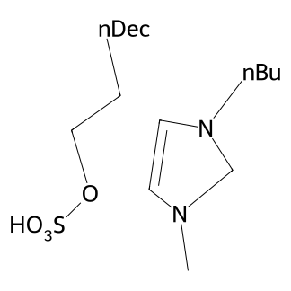 CCCCCCCCCCCCOS(=O)(=O)O.CCCCN1C=CN(C)C1